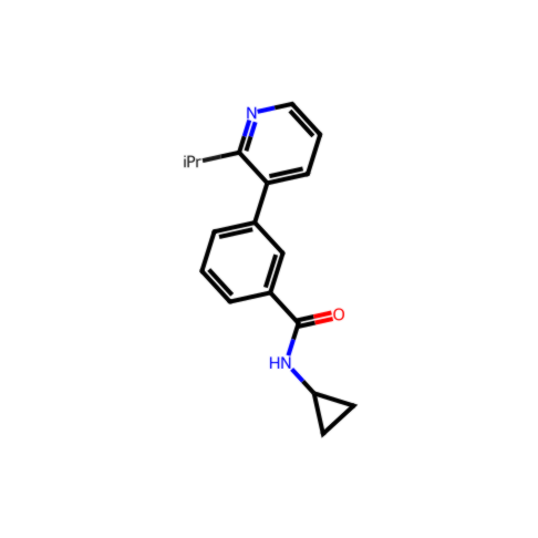 CC(C)c1ncccc1-c1cccc(C(=O)NC2CC2)c1